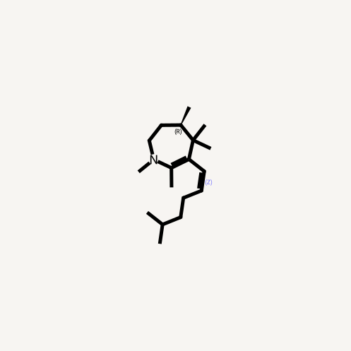 CC1=C(/C=C\CCC(C)C)C(C)(C)[C@H](C)CCN1C